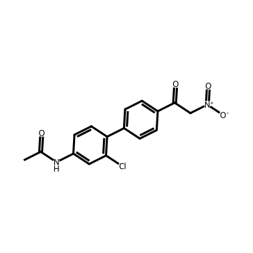 CC(=O)Nc1ccc(-c2ccc(C(=O)C[N+](=O)[O-])cc2)c(Cl)c1